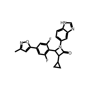 Cc1cc(-c2cc(F)c(C3C(C4CC4)C(=O)N3c3ccc4[nH]cnc4c3)c(F)c2)on1